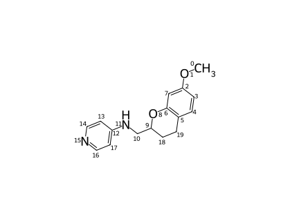 COc1ccc2c(c1)OC(CNc1ccncc1)CC2